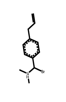 C=CCc1ccc(C(Br)[SiH](C)C)cc1